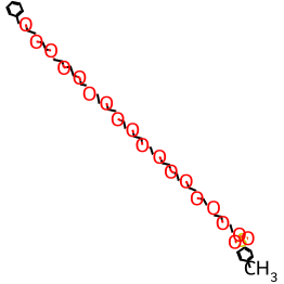 Cc1ccc(S(=O)(=O)OCCOCCOCCOCCOCCOCCOCCOCCOCCOCCOCCOCCOCCOCCOCCOCCOCc2ccccc2)cc1